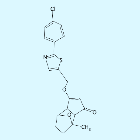 CC12CCC(O1)C1C(OCc3cnc(-c4ccc(Cl)cc4)s3)=CC(=O)C12